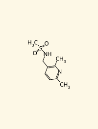 Cc1ccc(CNS(C)(=O)=O)c(C)n1